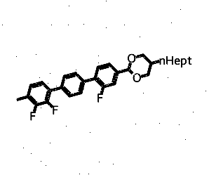 CCCCCCCC1COC(c2ccc(-c3ccc(-c4ccc(C)c(F)c4F)cc3)c(F)c2)OC1